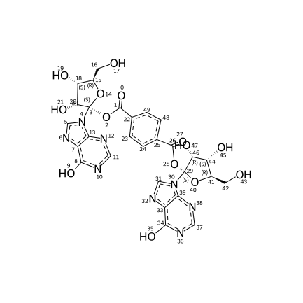 O=C(O[C@@]1(n2cnc3c(O)ncnc32)O[C@H](CO)[C@@H](O)[C@H]1O)c1ccc(C(=O)O[C@@]2(n3cnc4c(O)ncnc43)O[C@H](CO)[C@@H](O)[C@H]2O)cc1